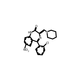 O=C1Nc2ccc([N+](=O)[O-])cc2C(c2ccccc2Cl)=NC1=CN1CCCCC1